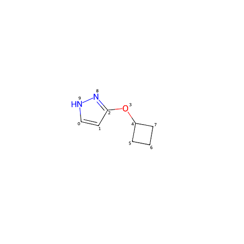 c1cc(OC2CCC2)n[nH]1